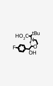 CC(C)(C)C(C(=O)O)N1CCO[C@H]([C@H](O)c2ccc(F)cc2)C1